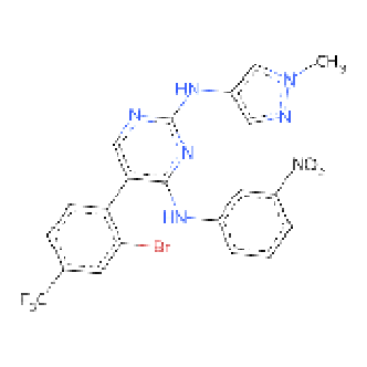 Cn1cc(Nc2ncc(-c3ccc(C(F)(F)F)cc3Br)c(Nc3cccc([N+](=O)[O-])c3)n2)cn1